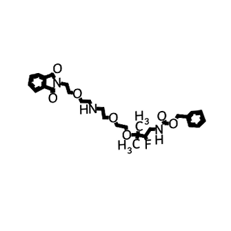 CC(C)(OCCOCCNCCOCCN1C(=O)c2ccccc2C1=O)C(F)CNC(=O)OCc1ccccc1